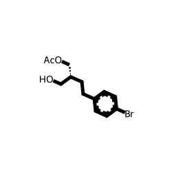 CC(=O)OC[C@@H](CO)CCc1ccc(Br)cc1